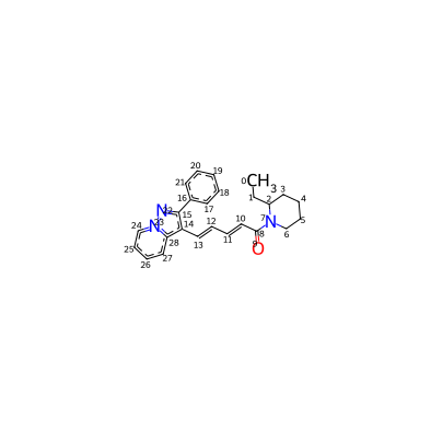 CCC1CCCCN1C(=O)C=CC=Cc1c(-c2ccccc2)nn2ccccc12